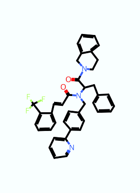 O=C(C(Cc1ccccc1)N(Cc1ccc(-c2ccccn2)cc1)C(=O)C=Cc1ccccc1C(F)(F)F)N1CCc2ccccc2C1